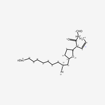 C/C=C\N(C(=O)NC=O)C1CCC(CN(CCCCCCCCCCCCCCCCC)C(C)=O)O1